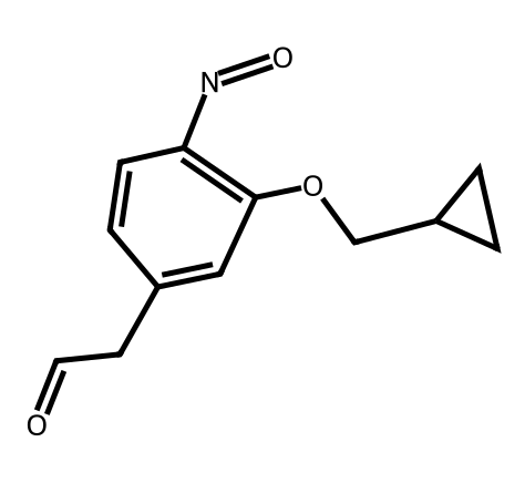 O=CCc1ccc(N=O)c(OCC2CC2)c1